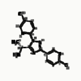 C[C@@H](N)c1nc(-c2ccc(Cl)nc2)nn1-c1ccc(Cl)cn1